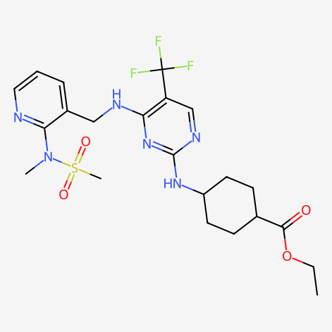 CCOC(=O)C1CCC(Nc2ncc(C(F)(F)F)c(NCc3cccnc3N(C)S(C)(=O)=O)n2)CC1